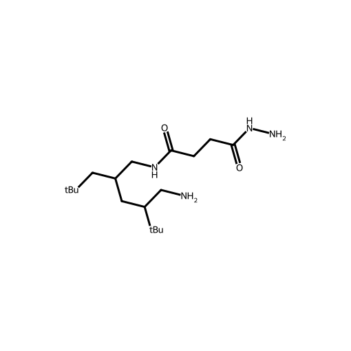 CC(C)(C)CC(CNC(=O)CCC(=O)NN)CC(CN)C(C)(C)C